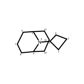 [CH]1CCC1N1C2CCCC1CCC2